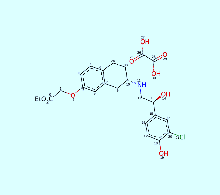 CCOC(=O)COc1ccc2c(c1)C[C@@H](NC[C@@H](O)c1ccc(O)c(Cl)c1)CC2.O=C(O)C(=O)O